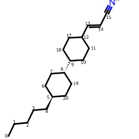 CCCCC[C@H]1CC[C@H](C2CCC(C=CC#N)CC2)CC1